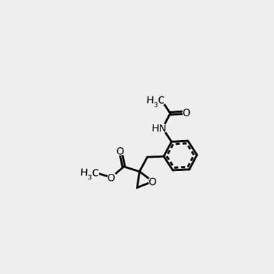 COC(=O)C1(Cc2ccccc2NC(C)=O)CO1